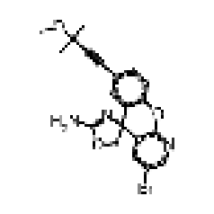 COC(C)(C)C#Cc1ccc2c(c1)C1(COC(N)=N1)c1cc(Br)cnc1O2